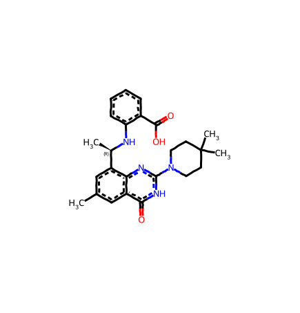 Cc1cc([C@@H](C)Nc2ccccc2C(=O)O)c2nc(N3CCC(C)(C)CC3)[nH]c(=O)c2c1